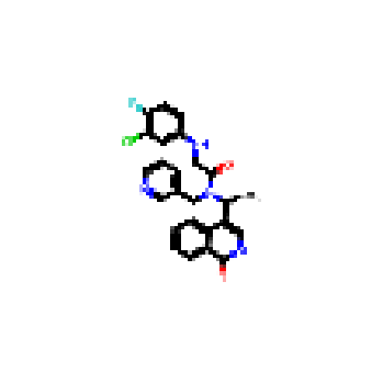 CC(c1c[nH]c(=O)c2ccccc12)N(Cc1cccnc1)C(=O)CNc1ccc(F)c(Cl)c1